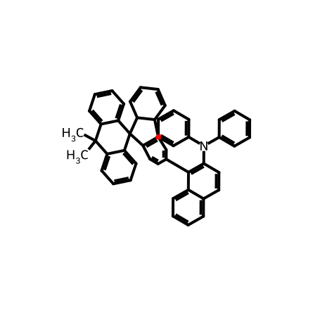 CC1(C)c2ccccc2C2(c3ccc(-c4c(N(c5ccccc5)c5ccccc5)ccc5ccccc45)cc3C3C=CC=CC32)c2ccccc21